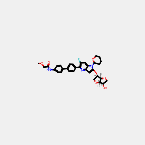 COCC(=O)Nc1ccc(-c2ccc(-c3nc4cc(O[C@@H]5CO[C@H]6[C@@H]5OC[C@H]6O)n(C5CCCCO5)c4cc3F)cc2)cc1